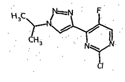 CC(C)n1cc(-c2nc(Cl)ncc2F)nn1